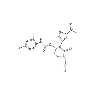 C#CCN1CCC(OC(=O)Nc2ccc(Br)cc2C)N(c2nnc([S+](C)[O-])s2)C1=O